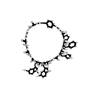 CN1C(=O)[C@H](Cc2cn(I)c3ccc(F)cc23)NC(=O)CNC(=O)CNC(=O)CCCCNC(=O)COc2ccc(cc2)CCNC(=O)C2CCCN2C(=O)[C@@H](Cc2ccccc2)N(I)C(=O)[C@H](Cc2cnc[nH]2)NC(=O)CNC(=O)[C@@H]1Cc1c[nH]c2ccc(F)cc12